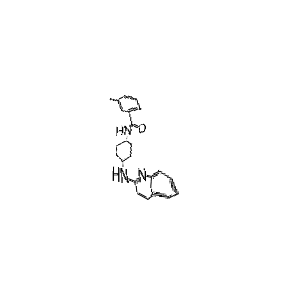 Cc1cccc(C(=O)N[C@H]2CC[C@@H](Nc3ccc4ccccc4n3)CC2)c1